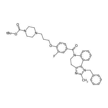 Cc1nc2c(n1Cc1ccccc1)-c1ccccc1N(C(=O)c1ccc(OCCCN3CCN(C(=O)OC(C)(C)C)CC3)c(F)c1)CC2